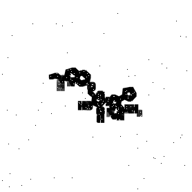 CCNc1ccc2ccc(OC[C@H]3O[C@@H](n4cc(C5CCCC5)c5c(N)ncnc54)[C@H](O)[C@@H]3O)cc2n1